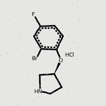 Cl.Fc1ccc(O[C@H]2CCNC2)c(Br)c1